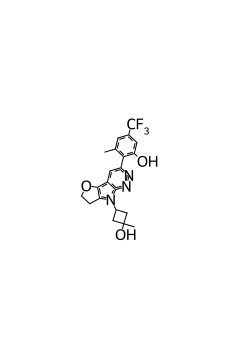 Cc1cc(C(F)(F)F)cc(O)c1-c1cc2c3c(n(C4CC(C)(O)C4)c2nn1)CCO3